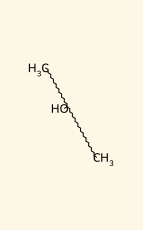 CCCCCCCCCCCCCCCCCCCCCC(O)CCCCCCCCCCCCCCCC